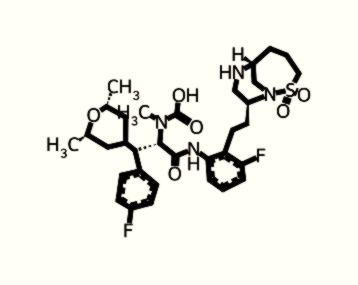 C[C@@H]1CC(C(c2ccc(F)cc2)[C@@H](C(=O)Nc2cccc(F)c2CC[C@H]2CN[C@@H]3CCCS(=O)(=O)N2C3)N(C)C(=O)O)C[C@H](C)O1